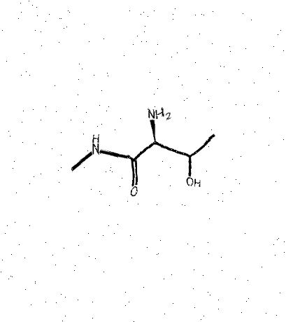 CNC(=O)[C@@H](N)C(C)O